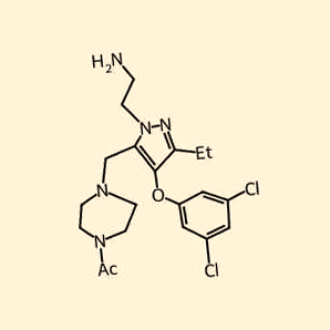 CCc1nn(CCN)c(CN2CCN(C(C)=O)CC2)c1Oc1cc(Cl)cc(Cl)c1